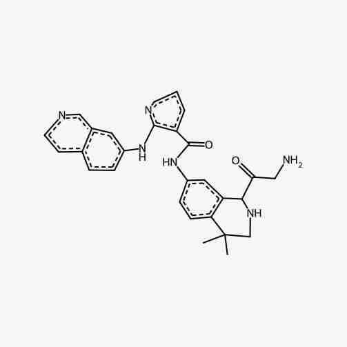 CC1(C)CNC(C(=O)CN)c2cc(NC(=O)c3cccnc3Nc3ccc4ccncc4c3)ccc21